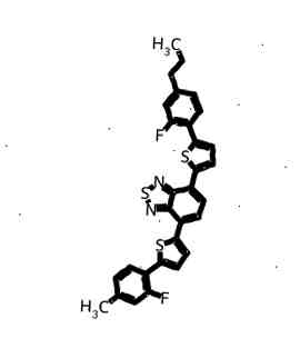 CCCc1ccc(-c2ccc(-c3ccc(-c4ccc(-c5ccc(C)cc5F)s4)c4nsnc34)s2)c(F)c1